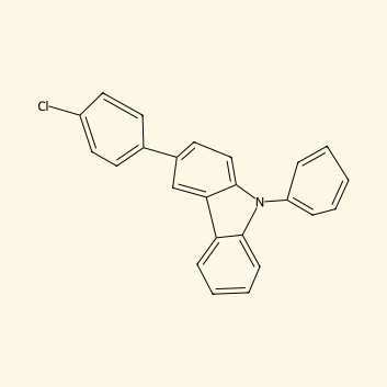 Clc1ccc(-c2ccc3c(c2)c2ccccc2n3-c2ccccc2)cc1